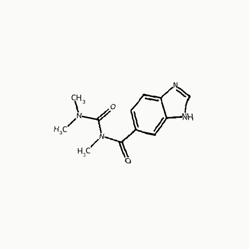 CN(C)C(=O)N(C)C(=O)c1ccc2nc[nH]c2c1